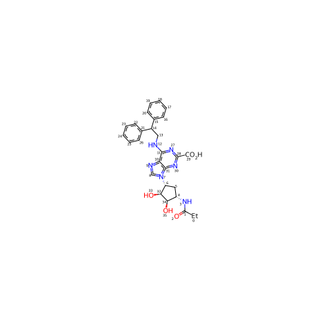 CCC(=O)N[C@H]1C[C@@H](n2cnc3c(NCC(c4ccccc4)c4ccccc4)nc(C(=O)O)nc32)[C@H](O)[C@@H]1O